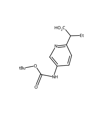 CCC(C(=O)O)c1ccc(NC(=O)OC(C)(C)C)cn1